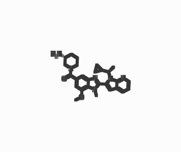 COc1cc(C(=O)N2CCC[C@@H](N)C2)cc2nc(-c3cc4cccnc4n3[C@H](C)C3CC3)n(C)c12